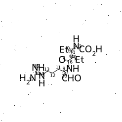 CC[C@H](NC(=O)O)[C@@H](CC)C(=O)N[C@H](C=O)CCCNC(=N)N